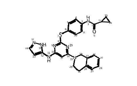 O=C(Nc1ccc(Sc2nc(Nc3ccn[nH]3)cc(N3CCc4ccccc4C3)n2)cc1)C1CC1